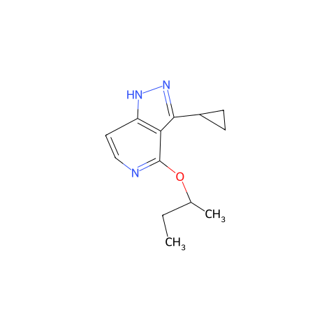 CCC(C)Oc1nccc2[nH]nc(C3CC3)c12